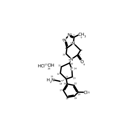 Cc1nnc2n1CC(=O)N([C@H]1CC[C@](CN)(c3cccc(Cl)c3)CC1)C2.Cl.Cl